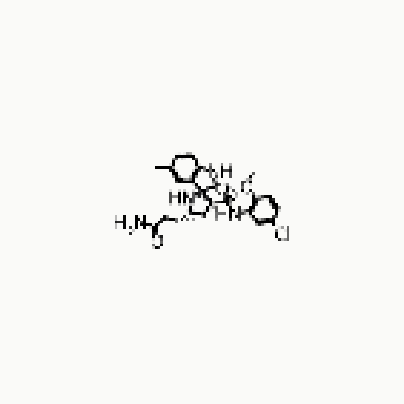 COc1ccc(Cl)cc1NC(=O)[C@H]1C[C@H](CCC(N)=O)N[C@]12C(=O)Nc1ccc(C)cc12